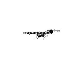 CC(O)COC(C)CO.CCCCCCCCCc1ccc(OC(O)COCCOCCOCCOCCOCCOCCO)cc1